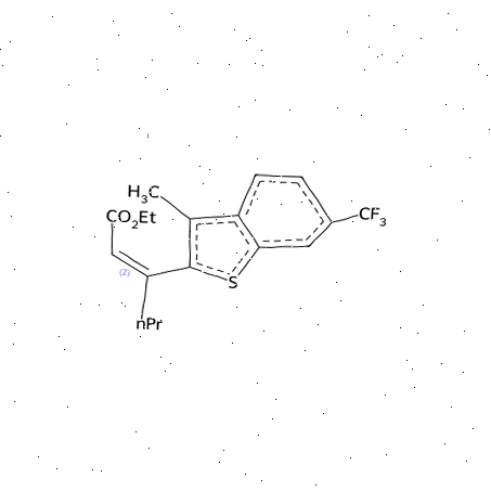 CCC/C(=C/C(=O)OCC)c1sc2cc(C(F)(F)F)ccc2c1C